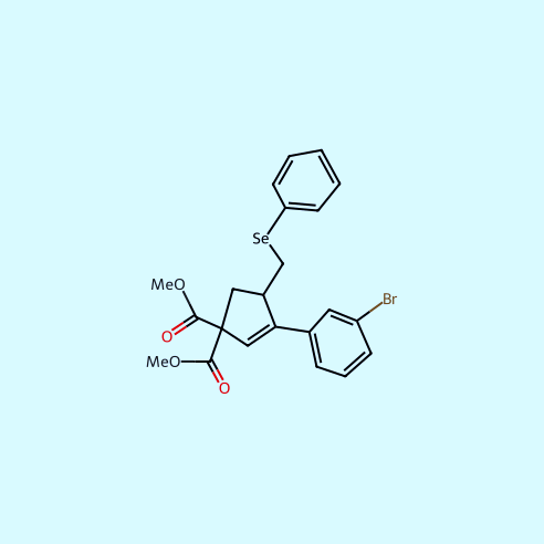 COC(=O)C1(C(=O)OC)C=C(c2cccc(Br)c2)C(C[Se]c2ccccc2)C1